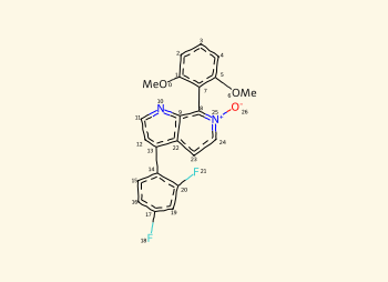 COc1cccc(OC)c1-c1c2nccc(-c3ccc(F)cc3F)c2cc[n+]1[O-]